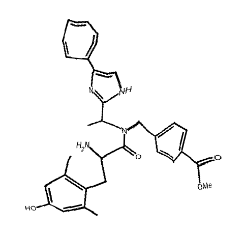 COC(=O)c1ccc(CN(C(=O)C(N)Cc2c(C)cc(O)cc2C)C(C)c2nc(-c3ccccc3)c[nH]2)cc1